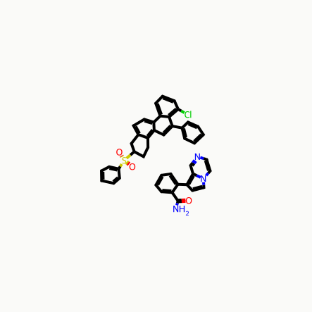 NC(=O)c1ccccc1-c1ccn2ccncc12.O=S(=O)(c1ccccc1)C1CCc2c(ccc3c2cc(-c2ccccc2)c2c(Cl)cccc23)C1